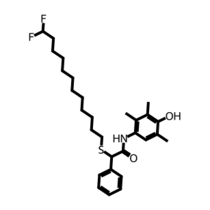 Cc1cc(NC(=O)C(SCCCCCCCCCCCC(F)F)c2ccccc2)c(C)c(C)c1O